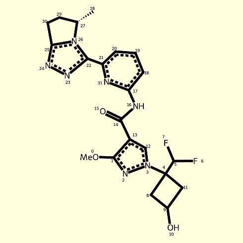 COc1nn(C2(C(F)F)CC(O)C2)cc1C(=O)Nc1cccc(-c2nnc3n2[C@@H](C)CC3)n1